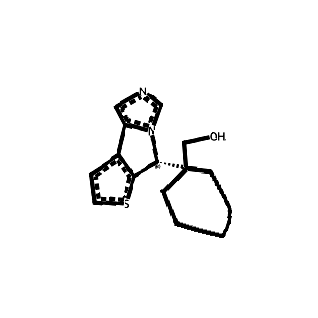 OCC1([C@@H]2c3sccc3-c3cncn32)CCCCC1